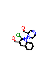 O=Cc1cc2ccccc2nc1Cl.O=Cc1cnccn1